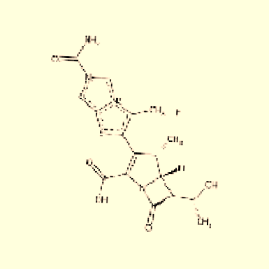 Cc1c(C2=C(C(=O)O)N3C(=O)[C@H]([C@@H](C)O)[C@H]3[C@H]2C)sc2cn(C(N)=O)c[n+]12.[I-]